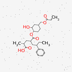 C=CC(=O)OCC1CCC(OC(=O)C(CC(C)C(=O)O)CC(CC)c2ccccc2)C(O)C1